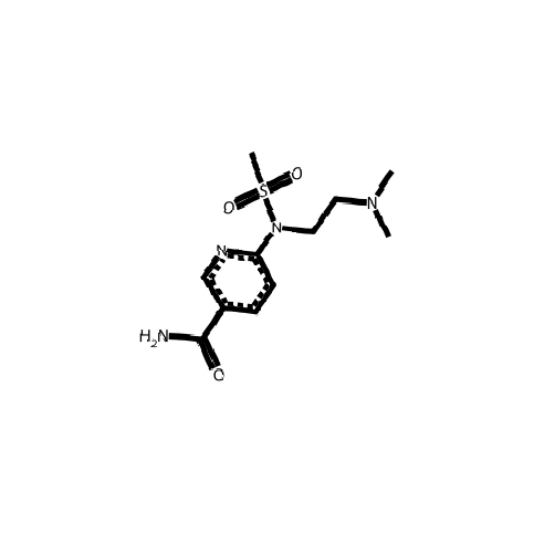 CN(C)CCN(c1ccc(C(N)=O)cn1)S(C)(=O)=O